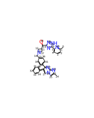 Cc1cccc(-c2nc(C(=O)C3CN(Cc4ccc(-c5nc6nc(C)cn6cc5-c5ccccc5)cc4)C3)n[nH]2)n1